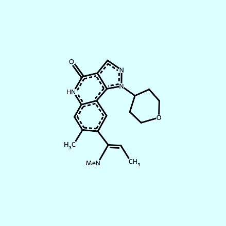 CC=C(NC)c1cc2c(cc1C)[nH]c(=O)c1cnn(C3CCOCC3)c12